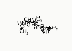 CCCOCN[C@@H](C)C(=O)CCC(=O)[C@H](C)NCN[C@@H](CO)C(=O)NCC(C)=O